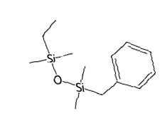 CC[Si](C)(C)O[Si](C)(C)Cc1ccccc1